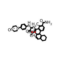 Cc1c(C(N)=O)ccc(-c2c(C(=O)O)ccc3c2CCCC3)c1-c1cn(C)c(=O)c(Nc2ccc(N3CC[S+]([O-])CC3)cc2)n1